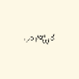 NC1CCC(CNc2cc(-c3ccc4ncn(Cc5cccc(F)c5)c4c3)c(Cl)cn2)CC1